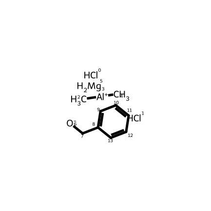 Cl.Cl.[CH3][Al+][CH3].[MgH2].[O-]Cc1ccccc1